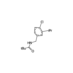 CC(C)c1cc(CNC(=O)C(C)(C)C)ccc1Cl